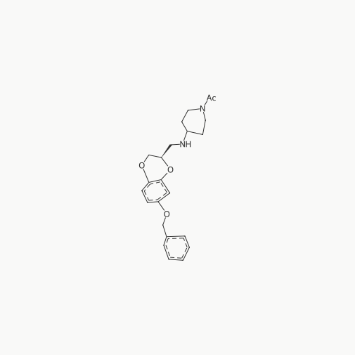 CC(=O)N1CCC(NC[C@@H]2COc3ccc(OCc4ccccc4)cc3O2)CC1